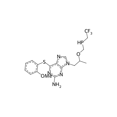 COc1ccccc1Sc1nc(N)nc2c1ncn2CC(C)OCPCC(F)(F)F